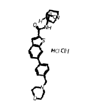 Cl.Cl.O=C(N[C@H]1CN2CCC1CC2)c1cc2ccc(-c3ccc(CN4CCOCC4)cc3)cc2s1